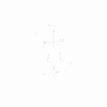 NC(C(=O)O)(c1ccc(P(=O)(O)O)c(Cl)c1)C1CC1